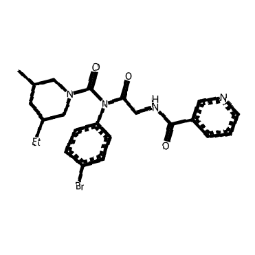 CCC1CC(C)CN(C(=O)N(C(=O)CNC(=O)c2cccnc2)c2ccc(Br)cc2)C1